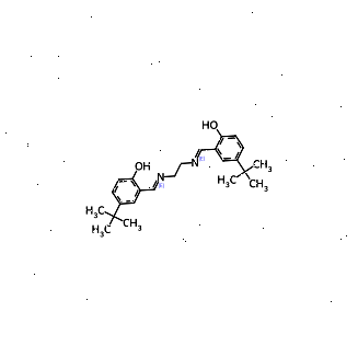 CC(C)(C)c1ccc(O)c(/C=N/CC/N=C/c2cc(C(C)(C)C)ccc2O)c1